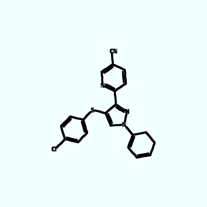 N#Cc1ccc(-c2nn(C3=CC=CCC3)cc2Sc2ccc(Cl)cc2)nc1